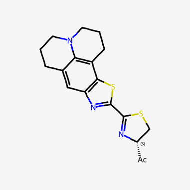 CC(=O)[C@H]1CSC(c2nc3cc4c5c(c3s2)CCCN5CCC4)=N1